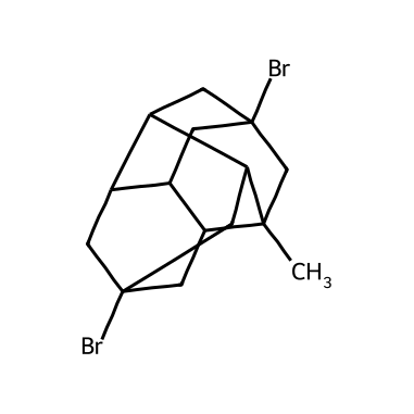 CC12CC3(Br)CC4C5CC(Br)(CC41)CC2C5C3